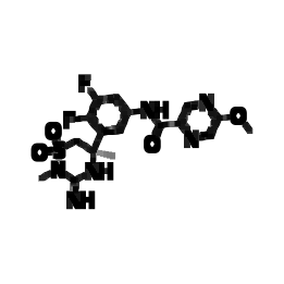 COc1cnc(C(=O)Nc2cc(F)c(F)c([C@]3(C)CS(=O)(=O)N(C)C(=N)N3)c2)cn1